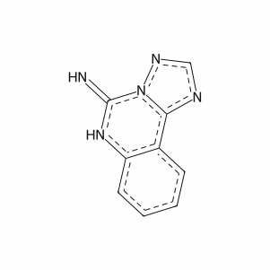 N=c1[nH]c2ccccc2c2ncnn12